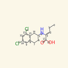 CC/C=C(\NC1CCc2cc(Cl)cc(Cl)c2C1)C(=O)O